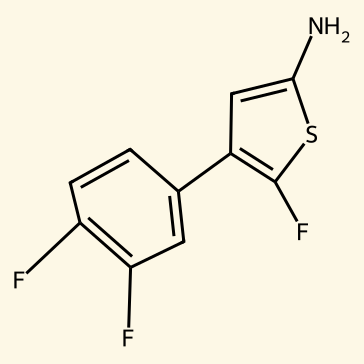 Nc1cc(-c2ccc(F)c(F)c2)c(F)s1